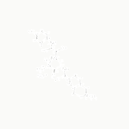 CN1CCc2nc(C(=O)N[C@@H](CNC(=O)C(=O)Nc3ccc(Cl)cn3)C(=O)N(C)C)ccc2C1.Cl